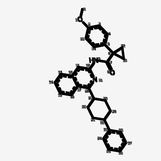 COc1ccc(C2(C(=O)Nc3cc4ccccc4c(C4CCC(c5ccccc5)CC4)n3)CC2)cc1